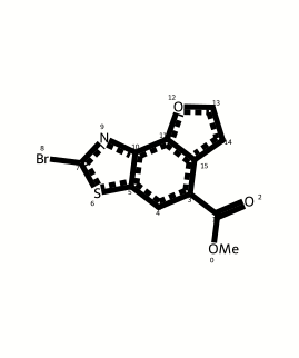 COC(=O)c1cc2sc(Br)nc2c2occc12